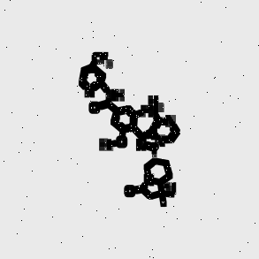 CCOc1cc(C(=O)Nc2cc(C(F)(F)F)ccn2)cc(F)c1-c1nc([C@@H]2CC[C@@H]3N(C2)C(=O)CC3(C)C)n2ccnc(N)c12